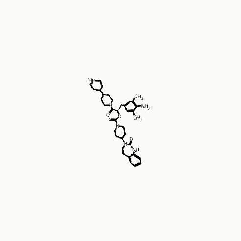 Cc1cc(C[C@@H](OC(=O)N2CCC(N3CCc4ccccc4NC3=O)CC2)C(=O)N2CCC(C3CCNCC3)CC2)cc(C)c1N